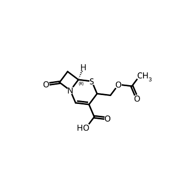 CC(=O)OCC1S[C@@H]2CC(=O)N2C=C1C(=O)O